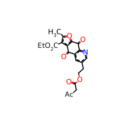 CCOC(=O)c1c(C)oc2c1C(=O)c1cc(CCOC(=O)CC(C)=O)cnc1C2=O